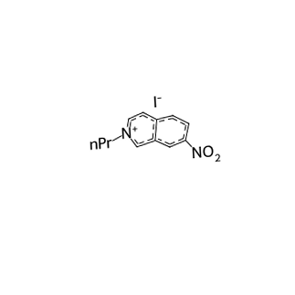 CCC[n+]1ccc2ccc([N+](=O)[O-])cc2c1.[I-]